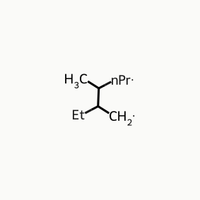 [CH2]C(CC)C(C)[CH]CC